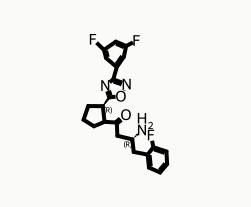 N[C@@H](CC(=O)C1CCC[C@H]1c1nc(-c2cc(F)cc(F)c2)no1)Cc1ccccc1F